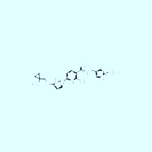 CC(C)(C)n1cc(SNC(=O)c2ccc(-n3ccc(OCC4(C(F)(F)F)CC4)n3)nc2Cl)cn1